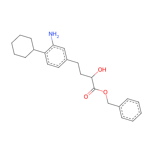 Nc1cc(CCC(O)C(=O)OCc2ccccc2)ccc1C1CCCCC1